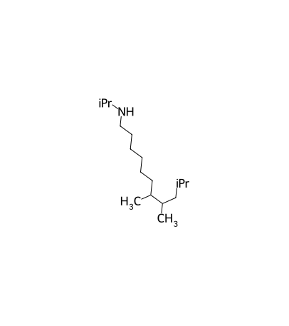 CC(C)CC(C)C(C)CCCCCCNC(C)C